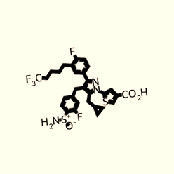 N[S+]([O-])c1ccc(Cc2c(-c3ccc(F)c(CCCCC(F)(F)F)c3)nn(-c3cc(C(=O)O)cs3)c2CC2CC2)cc1F